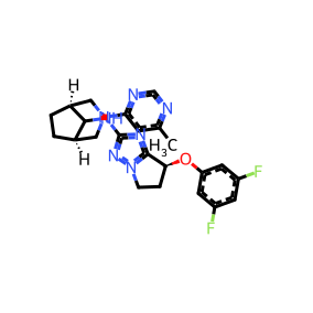 Cc1cc(N2C[C@H]3CC[C@@H](C2)C3Nc2nc3n(n2)CC[C@@H]3Oc2cc(F)cc(F)c2)ncn1